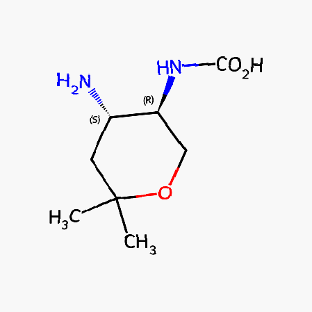 CC1(C)C[C@H](N)[C@@H](NC(=O)O)CO1